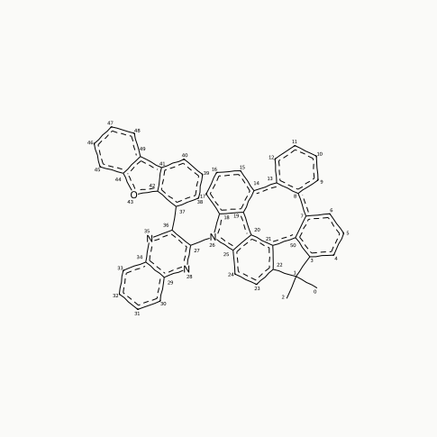 CC1(C)c2cccc3c4ccccc4c4cccc5c4c4c(c1ccc4n5-c1nc4ccccc4nc1-c1cccc4c1oc1ccccc14)c23